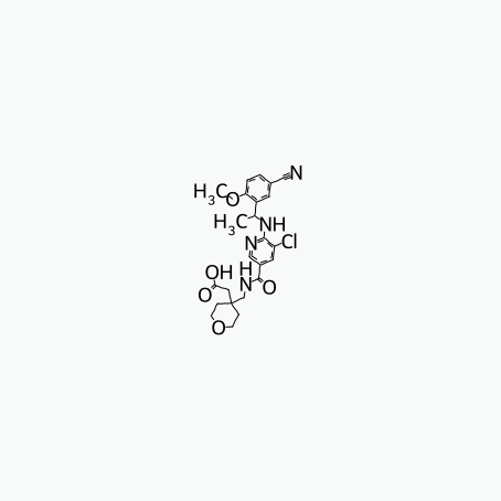 COc1ccc(C#N)cc1C(C)Nc1ncc(C(=O)NCC2(CC(=O)O)CCOCC2)cc1Cl